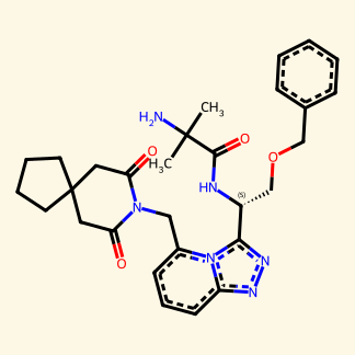 CC(C)(N)C(=O)N[C@H](COCc1ccccc1)c1nnc2cccc(CN3C(=O)CC4(CCCC4)CC3=O)n12